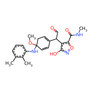 CNC(=O)c1onc(O)c1C(C=O)C1=CCC(Nc2cccc(C)c2C)(OC)C=C1